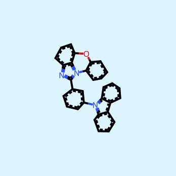 c1cc(-c2nc3cccc4c3n2-c2ccccc2O4)cc(-n2c3ccccc3c3ccccc32)c1